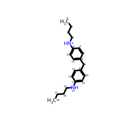 CCCCNc1ccc(Cc2ccc(NCCCC)cc2)cc1